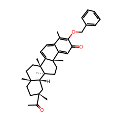 CC(=O)[C@]1(C)CC[C@]2(C)CC[C@]3(C)C4=CC=C5C(=CC(=O)C(OCc6ccccc6)=C5C)[C@]4(C)CC[C@@]3(C)[C@@H]2C1